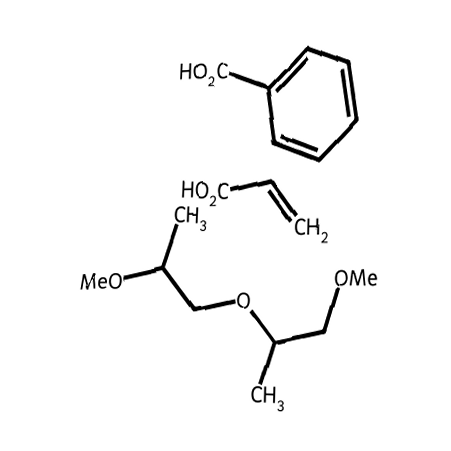 C=CC(=O)O.COCC(C)OCC(C)OC.O=C(O)c1ccccc1